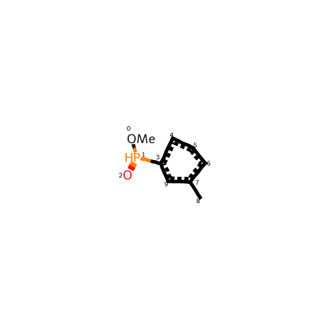 CO[PH](=O)c1cccc(C)c1